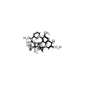 COc1c(N2CCCC(N(C)C(O)OC(C)([PH](=O)O)P(=O)(O)O)C2)c(C)cc2c(=O)c(C(=O)O)cn(C3CC3)c12